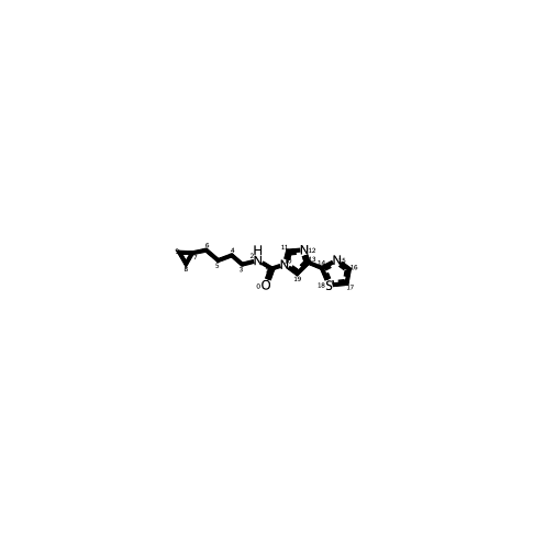 O=C(NCCCCC1CC1)n1cnc(-c2nccs2)c1